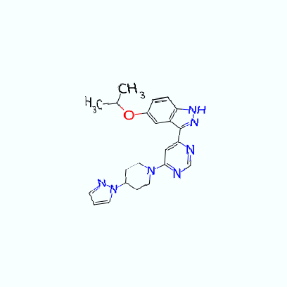 CC(C)Oc1ccc2[nH]nc(-c3cc(N4CCC(n5cccn5)CC4)ncn3)c2c1